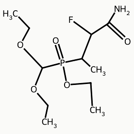 CCOC(OCC)P(=O)(OCC)C(C)C(F)C(N)=O